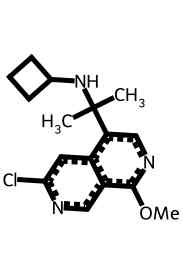 COc1ncc(C(C)(C)NC2CCC2)c2cc(Cl)ncc12